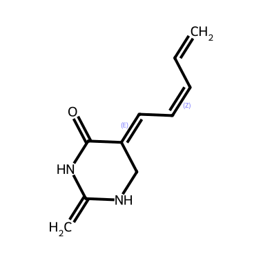 C=C/C=C\C=C1/CNC(=C)NC1=O